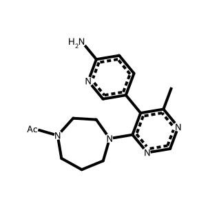 CC(=O)N1CCCN(c2ncnc(C)c2-c2ccc(N)nc2)CC1